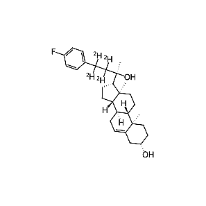 [2H]C([2H])(c1ccc(F)cc1)C([2H])([2H])[C@@](C)(O)[C@H]1CC[C@H]2[C@@H]3CC=C4C[C@@H](O)CC[C@]4(C)[C@H]3CC[C@@]21C